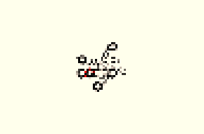 Cc1c(C=O)ccc(OCc2ccccc2)c1[C@@H]1O[C@H](COCc2ccccc2)[C@@H](OCc2ccccc2)[C@H](OCc2ccccc2)[C@H]1OCc1ccccc1